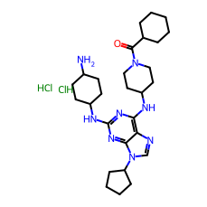 Cl.Cl.NC1CCC(Nc2nc(NC3CCN(C(=O)C4CCCCC4)CC3)c3ncn(C4CCCC4)c3n2)CC1